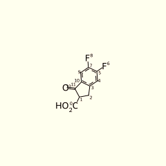 O=C(O)C1Cc2cc(F)c(F)cc2C1=O